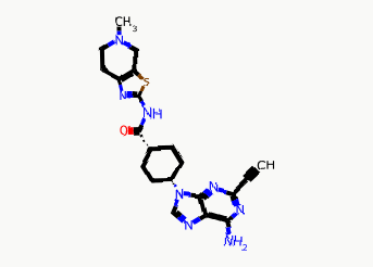 C#Cc1nc(N)c2ncn([C@H]3CC[C@@H](C(=O)Nc4nc5c(s4)CN(C)CC5)CC3)c2n1